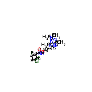 CNc1nc(N(C)C)nc(C)c1/N=C\CCCCCOC(=O)NCc1c(F)ccc(Cl)c1F